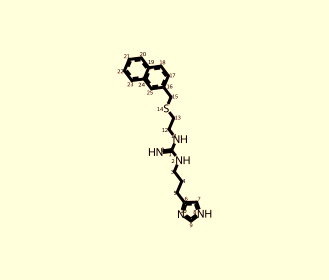 N=C(NCCCc1c[nH]cn1)NCCSCc1ccc2ccccc2c1